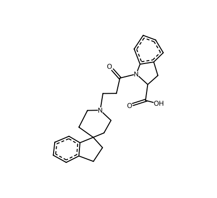 O=C(O)C1Cc2ccccc2N1C(=O)CCN1CCC2(CCc3ccccc32)CC1